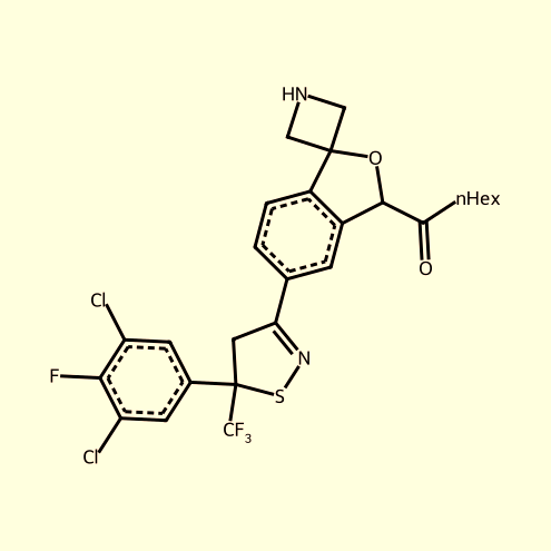 CCCCCCC(=O)C1OC2(CNC2)c2ccc(C3=NSC(c4cc(Cl)c(F)c(Cl)c4)(C(F)(F)F)C3)cc21